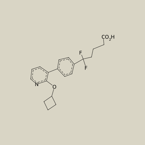 O=C(O)CCCC(F)(F)c1ccc(-c2cccnc2OC2CCC2)cc1